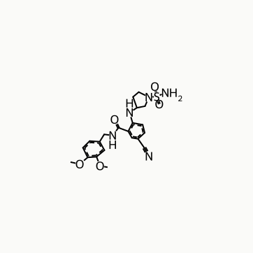 COc1ccc(CNC(=O)c2cc(C#N)ccc2NC2CCN(S(N)(=O)=O)C2)cc1OC